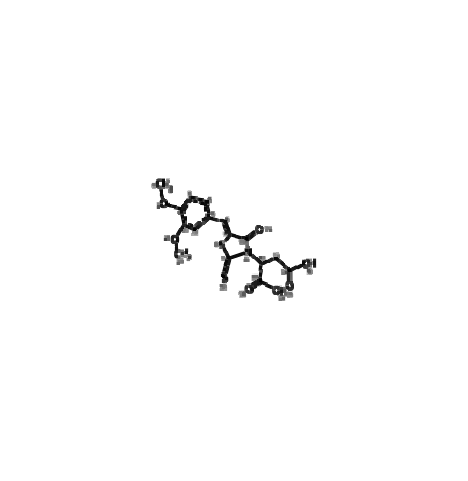 COc1ccc(/C=C2\SC(=S)N(C(CC(=O)O)C(=O)O)C2=O)cc1OC